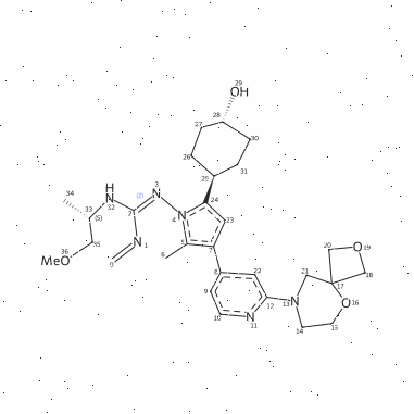 C=N/C(=N\n1c(C)c(-c2ccnc(N3CCOC4(COC4)C3)c2)cc1[C@H]1CC[C@H](O)CC1)N[C@@H](C)COC